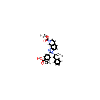 COC(=O)N1CCc2ccc3c(nc([C@H]4CC[C@](C)(C(=O)O)CC4)n3[C@H](C)Cc3ccccc3)c2C1